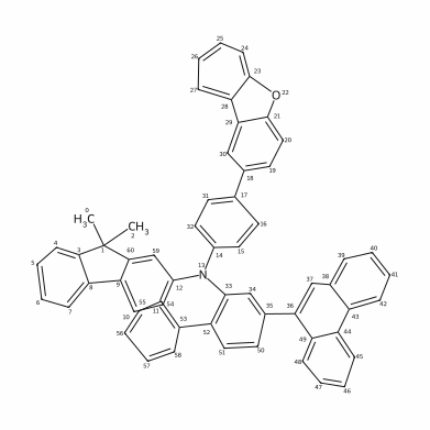 CC1(C)c2ccccc2-c2ccc(N(c3ccc(-c4ccc5oc6ccccc6c5c4)cc3)c3cc(-c4cc5ccccc5c5ccccc45)ccc3-c3ccccc3)cc21